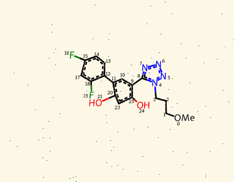 COCCCn1nnnc1-c1cc(-c2ccc(F)cc2F)c(O)cc1O